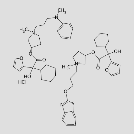 CN(CCC[N+]1(C)CC[C@@H](OC(=O)C(O)(c2ccco2)C2CCCCC2)C1)c1ccccc1.C[N+]1(CCCOc2nc3ccccc3s2)CCC(OC(=O)C(O)(c2ccco2)C2CCCCC2)C1.Cl